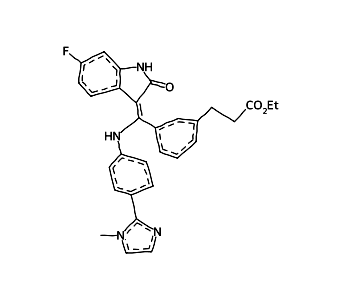 CCOC(=O)CCc1cccc(C(Nc2ccc(-c3nccn3C)cc2)=C2C(=O)Nc3cc(F)ccc32)c1